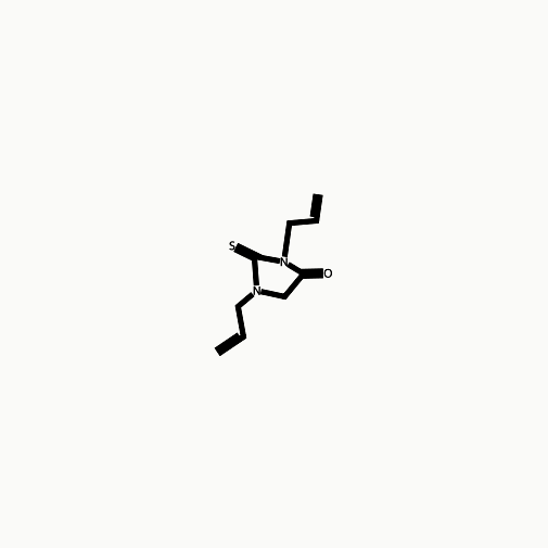 C=CCN1CC(=O)N(CC=C)C1=S